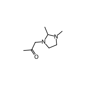 CC(=O)CN1CCN(C)C1C